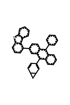 C1=CC2CC2C=C1c1c2ccccc2c(-c2ccccc2)c2ccc(-c3cccc4sc5ccccc5c34)cc12